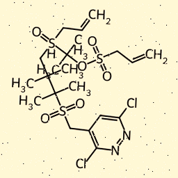 C=CCS(=O)(=O)OC(C)(C)[SH](=O)(CC=C)CC(C)(C)C(C)(C)S(=O)(=O)Cc1cc(Cl)nnc1Cl